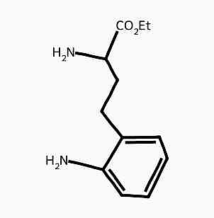 CCOC(=O)C(N)CCc1ccccc1N